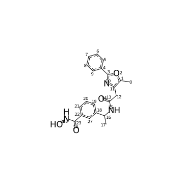 Cc1oc(-c2ccccc2)nc1CC(=O)NC(C)c1cccc(C(=O)NO)c1